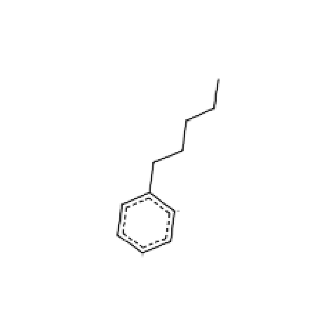 CCCCCc1[c]c[c]cc1